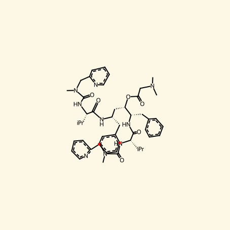 CC(C)[C@H](NC(=O)N(C)Cc1ccccn1)C(=O)N[C@@H](Cc1ccccc1)C[C@H](OC(=O)CN(C)C)[C@H](Cc1ccccc1)NC(=O)[C@@H](NC(=O)N(C)Cc1ccccn1)C(C)C